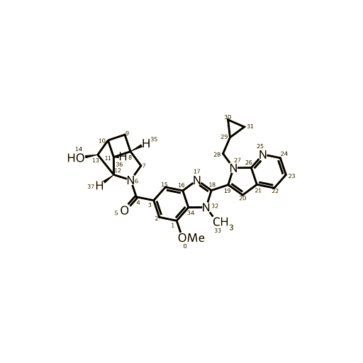 COc1cc(C(=O)N2C[C@H]3CC4[C@H]3[C@H]2[C@H]4O)cc2nc(-c3cc4cccnc4n3CC3CC3)n(C)c12